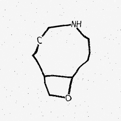 C1CNCCC2OCC2C1